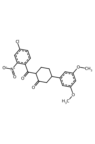 COc1cc(OC)cc(C2CCC(C(=O)c3ccc(Cl)cc3[N+](=O)[O-])C(=O)C2)c1